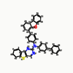 C1=Cc2c(sc3cnc(N(c4ccc(-c5ccccc5)cc4)c4ccc(-c5cccc6c5oc5ccccc56)cc4)nc23)CC1